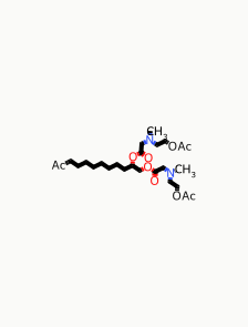 CC(=O)CCCCCCCCC(COC(=O)CN(C)CCOC(C)=O)OC(=O)CN(C)CCOC(C)=O